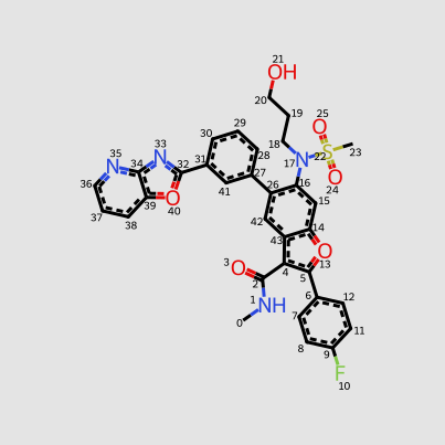 CNC(=O)c1c(-c2ccc(F)cc2)oc2cc(N(CCCO)S(C)(=O)=O)c(-c3cccc(-c4nc5ncccc5o4)c3)cc12